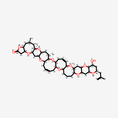 C=C(C)C[C@@H]1C[C@H](O)C2OC3C[C@]4(C)OC5/C=C\CC6OC7C(C/C=C\CC6OC5CCCC4OC3CC2O1)OC1CC2OC3CC(=O)OC3C[C@@H](C)C[C@@]2(C)OC1C[C@@H]7C